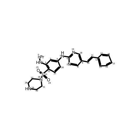 CCCNc1cc(Nc2ncc(/C=C/c3ccccc3)cn2)ccc1S(=O)(=O)N1CCNCC1